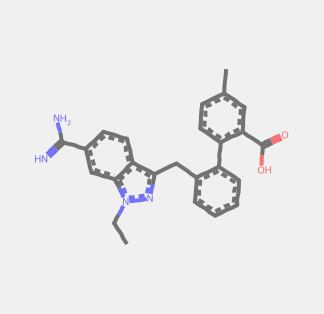 CCn1nc(Cc2ccccc2-c2ccc(C)cc2C(=O)O)c2ccc(C(=N)N)cc21